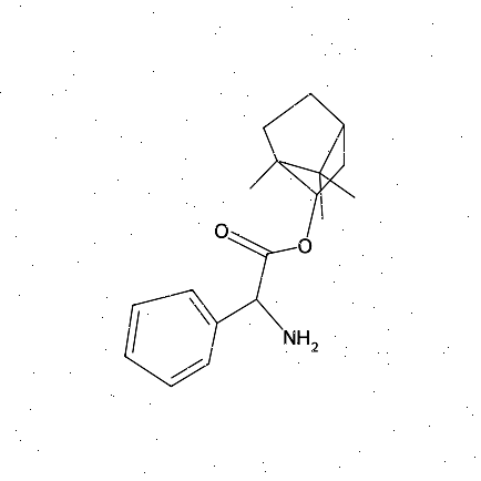 CC1(C)C2CCC1(C)C(OC(=O)C(N)c1ccccc1)C2